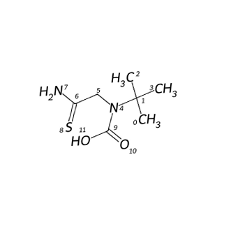 CC(C)(C)N(CC(N)=S)C(=O)O